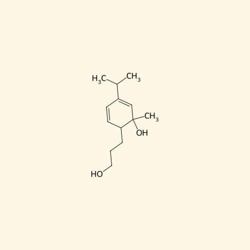 CC(C)C1=CC(C)(O)C(CCCO)C=C1